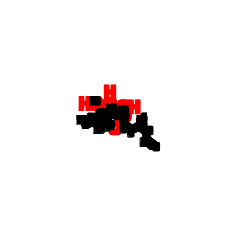 C=CCC(C)CC(=O)OC(CC=C)C(O)(CO)CO